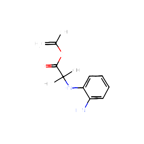 C=C(C)OC(=O)C(C)(C)Nc1ccccc1N